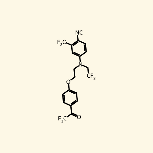 [C-]#[N+]c1ccc(N(CCOc2ccc(C(=O)C(F)(F)F)cc2)CC(F)(F)F)cc1C(F)(F)F